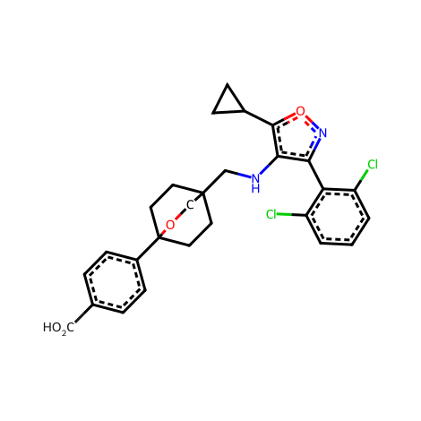 O=C(O)c1ccc(C23CCC(CNc4c(-c5c(Cl)cccc5Cl)noc4C4CC4)(CC2)CO3)cc1